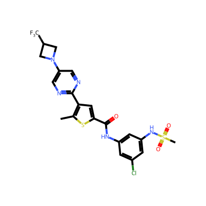 Cc1sc(C(=O)Nc2cc(Cl)cc(NS(C)(=O)=O)c2)cc1-c1ncc(N2CC(C(F)(F)F)C2)cn1